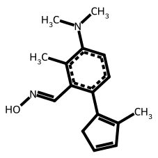 CC1=C(c2ccc(N(C)C)c(C)c2/C=N/O)CC=C1